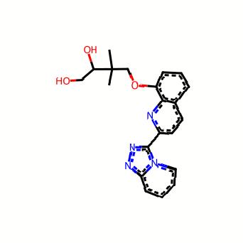 CC(C)(COc1cccc2ccc(-c3nnc4ccccn34)nc12)C(O)CO